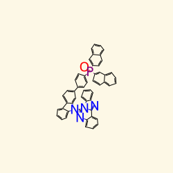 O=P(c1ccc(-c2ccc3c4ccccc4n(-c4nc5ccccc5c5nc6ccccc6n45)c3c2)cc1)(c1ccc2ccccc2c1)c1ccc2ccccc2c1